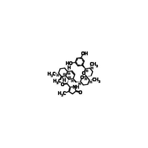 CC1=C(C(=O)[C@@H]2[C@H]3[C@@H](C)[C@H](C)CC[C@H]3C=C[C@H]2C[C@H]2CC[C@@H](C)[C@@]3(CC[C@@H](C)[C@H](c4cc(O)cc(O)c4)O3)O2)NC(=O)C1